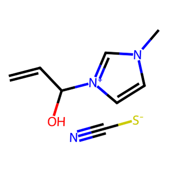 C=CC(O)[n+]1ccn(C)c1.N#C[S-]